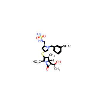 CC(=O)Nc1cccc(CN2C[C@@H](SC3=C(C(=O)O)N4C(=O)[C@H]([C@@H](C)O)[C@H]4[C@H]3C)C[C@H]2CNS(N)(=O)=O)c1